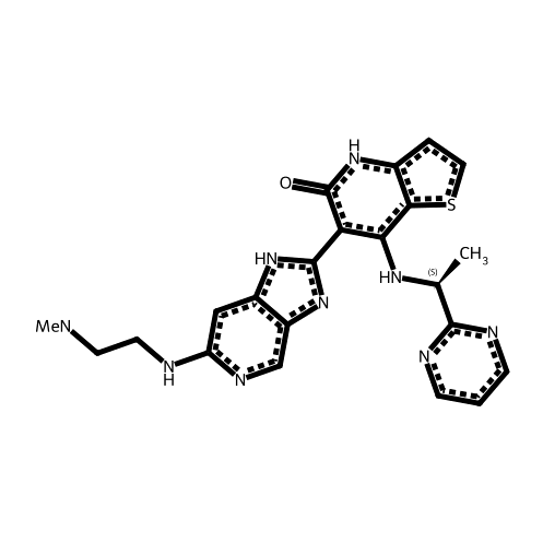 CNCCNc1cc2[nH]c(-c3c(N[C@@H](C)c4ncccn4)c4sccc4[nH]c3=O)nc2cn1